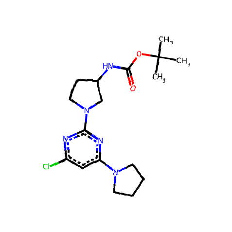 CC(C)(C)OC(=O)NC1CCN(c2nc(Cl)cc(N3CCCC3)n2)C1